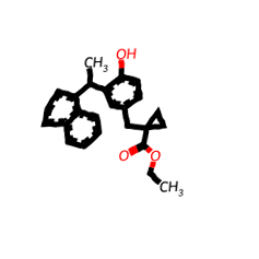 CCOC(=O)C1(Cc2ccc(O)c(C(C)c3cccc4ccccc34)c2)CC1